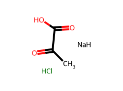 CC(=O)C(=O)O.Cl.[NaH]